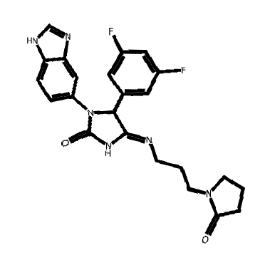 O=C1CCCN1CCCN=C1NC(=O)N(c2ccc3[nH]cnc3c2)C1c1cc(F)cc(F)c1